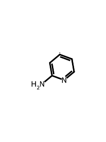 Nc1c[c]ccn1